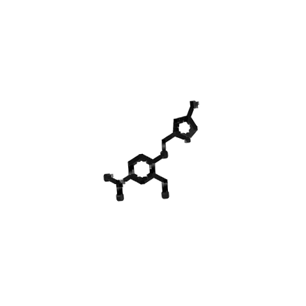 O=Cc1cc([N+](=O)[O-])ccc1OCc1cc(Br)cs1